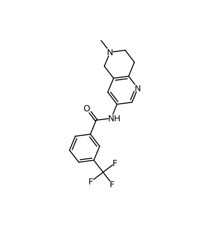 CN1CCc2ncc(NC(=O)c3cccc(C(F)(F)F)c3)cc2C1